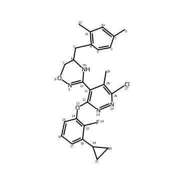 Cc1ccc(CC2CON=C(c3c(Oc4cccc(C5CC5)c4F)nnc(Cl)c3C)N2)c(C)c1